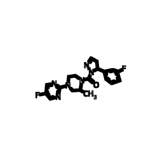 CC1CN(c2ncc(F)cn2)CCN1C(=O)N1N=CCC1c1cccc(F)c1